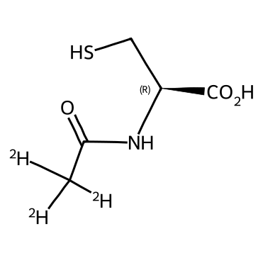 [2H]C([2H])([2H])C(=O)N[C@@H](CS)C(=O)O